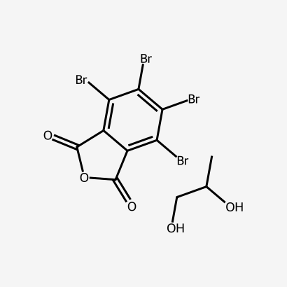 CC(O)CO.O=C1OC(=O)c2c(Br)c(Br)c(Br)c(Br)c21